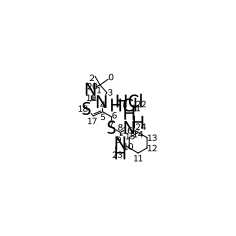 CC1(C)CN2C(CSC3=N[C@@H]4CCC[C@@H](C4)N3)=CSC2=N1.Cl.Cl